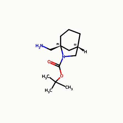 CC(C)(C)OC(=O)N1C[C@H]2CCC[C@]1(CN)C2